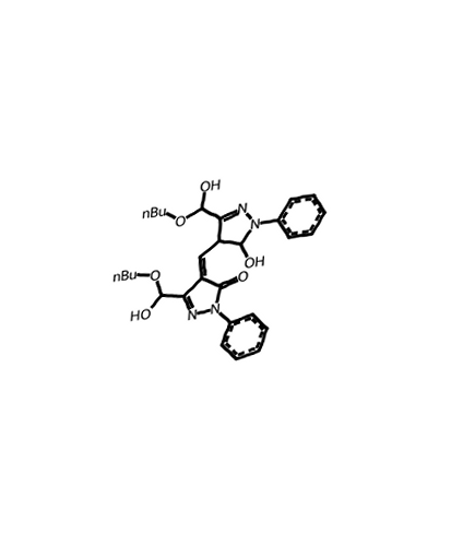 CCCCOC(O)C1=NN(c2ccccc2)C(=O)/C1=C\C1C(C(O)OCCCC)=NN(c2ccccc2)C1O